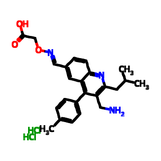 Cc1ccc(-c2c(CN)c(CC(C)C)nc3ccc(C=NOCC(=O)O)cc23)cc1.Cl.Cl